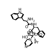 CC(C)C[C@@](B(O)O)(N1C=CN=CC1)N(C=O)C(=O)[C@H](Cc1ccccc1)NC(=O)[C@@H](N)Cc1c[nH]c2ccccc12